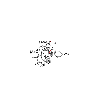 COc1ccc2[nH]c3c(c2c1)C[C@H](CN)N[C@]31CS[C@@H]2c3c(OC)c(C)c4c(c3[C@H](COC1=O)N1C2C2c3c(cc(C)c(OC)c3O)C[C@H]([C@@H]1O)N2C)OCO4